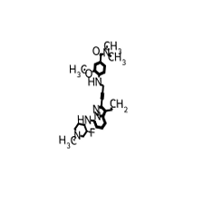 C=Cc1c(C#CCNc2ccc(C(=O)N(C)C)cc2OC)nn2c(N[C@@H]3CCN(C)C[C@@H]3F)cccc12